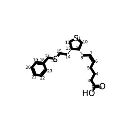 O=C(O)CCC/C=C\C[C@H]1CSC[C@H]1CCSCc1ccccc1